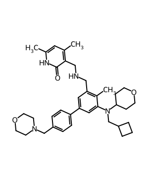 Cc1cc(C)c(CNCc2cc(-c3ccc(CN4CCOCC4)cc3)cc(N(CC3CCC3)C3CCOCC3)c2C)c(=O)[nH]1